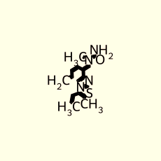 C=C/C=C\C(=C/N(C)C(N)=O)c1cn2c(/C=C\C)c(C)sc2n1